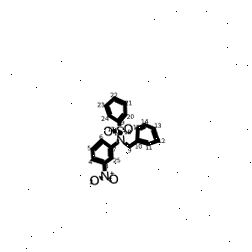 O=[N+]([O-])c1cccc(N(Cc2ccccc2)S(=O)(=O)c2ccccc2)c1